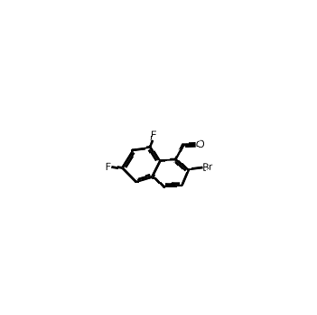 O=Cc1c(Br)ccc2cc(F)cc(F)c12